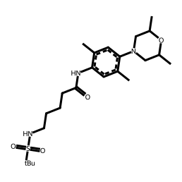 Cc1cc(N2CC(C)OC(C)C2)c(C)cc1NC(=O)CCCCNS(=O)(=O)C(C)(C)C